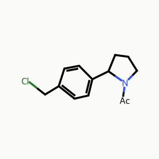 CC(=O)N1CCCC1c1ccc(CCl)cc1